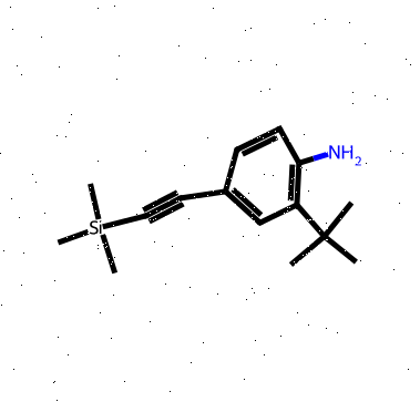 CC(C)(C)c1cc(C#C[Si](C)(C)C)ccc1N